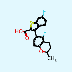 CC1CCc2c(ccc(-c3c(C(=O)O)sc4cc(F)ccc34)c2F)O1